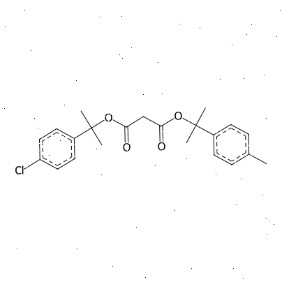 Cc1ccc(C(C)(C)OC(=O)CC(=O)OC(C)(C)c2ccc(Cl)cc2)cc1